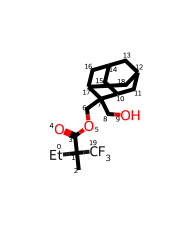 CCC(C)(C(=O)OCC1(CO)C2CC3CC(C2)CC1C3)C(F)(F)F